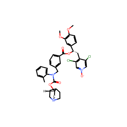 COc1ccc([C@H](Cc2c(Cl)c[n+]([O-])cc2Cl)OC(=O)c2cccc(CN(C(=O)O[C@H]3CN4CCC3CC4)c3ccccc3C)c2)cc1OC